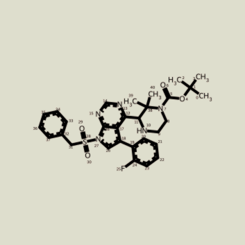 CC(C)(C)OC(=O)N1CCNC(c2ncnc3c2c(-c2ccccc2F)cn3S(=O)(=O)Cc2ccccc2)C1(C)C